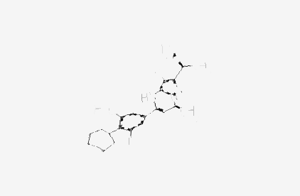 C=C=C(C)c1nn2c(c1C)NC(c1cc(C)c(C3CCCCC3)c(F)c1)=CC2=C